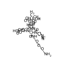 CCC(C)[C@H](NC(=O)[C@H](CCC(=O)O)NC(=O)[C@H](CCC(=O)Nc1ccc(N=[N+]=[N-])cc1)NC(=O)[C@H](Cc1ccc(OP(=O)(O)O)cc1)NC(=O)CCC(=O)NCCCOCCOCCOCCCN)C(=O)O